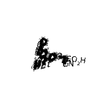 CCC(B1OC(C)(C)C(C)(C)O1)=C(c1ccc(OCCN(CC#N)C(=O)O)cc1)c1ccc2c(cnn2C2CCCCO2)c1